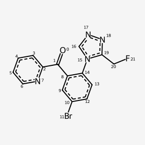 O=C(c1ccccn1)c1cc(Br)ccc1-n1cnnc1CF